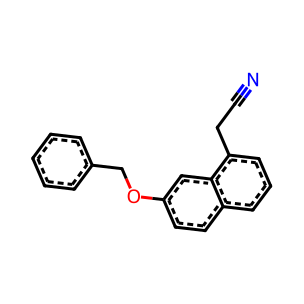 N#CCc1cccc2ccc(OCc3ccccc3)cc12